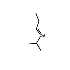 [CH2]C[CH]=[GeH][CH](C)C